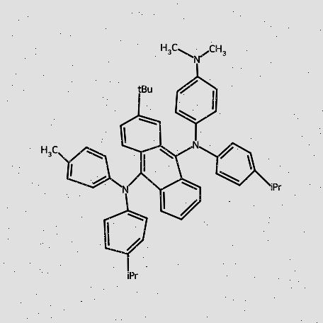 Cc1ccc(N(c2ccc(C(C)C)cc2)c2c3ccccc3c(N(c3ccc(C(C)C)cc3)c3ccc(N(C)C)cc3)c3cc(C(C)(C)C)ccc23)cc1